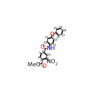 COC(=O)c1ccc(C(=O)Nc2ccc(Oc3ccccc3)cc2)cc1[N+](=O)[O-]